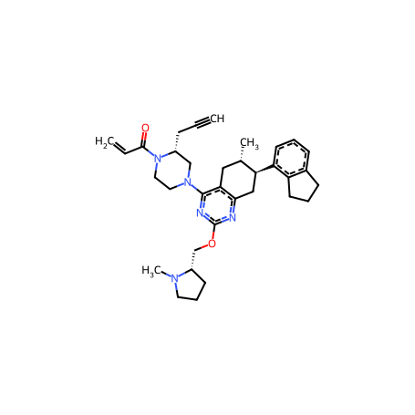 C#CC[C@@H]1CN(c2nc(OC[C@@H]3CCCN3C)nc3c2C[C@H](C)[C@@H](c2cccc4c2CCC4)C3)CCN1C(=O)C=C